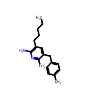 CCCCCc1cc(Cc2ccc(C)cc2)c(C)nc1N